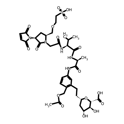 CC(=O)OCc1ccc(NC(=O)[C@H](C)NC(=O)[C@@H](NC(=O)CN2C(=O)[C@@H](N3C(=O)C=CC3=O)C[C@H]2COCCS(=O)(=O)O)C(C)C)cc1CC[C@H]1C[C@@H](O)[C@H](O)[C@@H](C(=O)O)O1